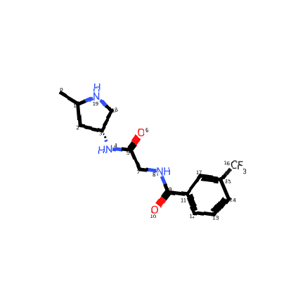 CC1C[C@@H](NC(=O)CNC(=O)c2cccc(C(F)(F)F)c2)CN1